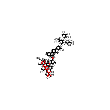 CC[C@H](C)[C@H](C[C@H](O)CC(=O)O[C@@H]1C(C)O[C@@H](OC(=O)[C@]23CCC(C)(C)CC2C2=CCC4[C@@]5(C)CC[C@H](O[C@@H]6OC(O)(C(=O)O)CC(O[C@@H]7OC[C@@H](O)C(O)C7O)C6OC(O)[C@@H](O)C(O)CO)[C@@](C)(C=O)C5CC[C@@]4(C)[C@]2(C)C[C@H]3O)C(O[C@@H]2OC(C)[C@H](O[C@H]3OCC(O)[C@H](O[C@H]4OCC(O)[C@H](O)C4O)C3O)C(O)C2O)C1O)OC(=O)C[C@@H](O)C[C@H](OC1(O)CO[C@@H](CO)C1O)[C@@H](C)CC